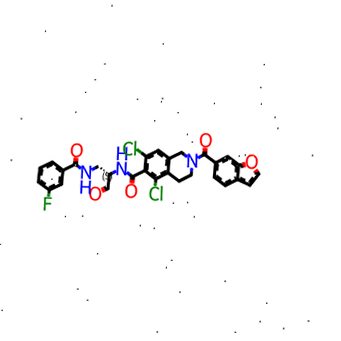 O=C[C@H](CNC(=O)c1cccc(F)c1)NC(=O)c1c(Cl)cc2c(c1Cl)CCN(C(=O)c1ccc3ccoc3c1)C2